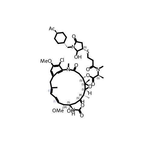 COc1cc2cc(c1Cl)N(C)C(=O)C[C@H](OC(=O)[C@H](C)N(C)C(=O)CCS[C@H]1CC(=O)N(C[C@H]3CC[C@H](C(C)=O)CC3)C1O)[C@]1(C)O[C@H]1[C@H](C)[C@@H]1C[C@@](O)(NC(=O)O1)[C@H](OC)/C=C/C=C(\C)C2